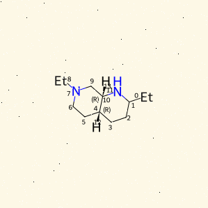 CCC1CC[C@@H]2CCN(CC)C[C@@H]2N1